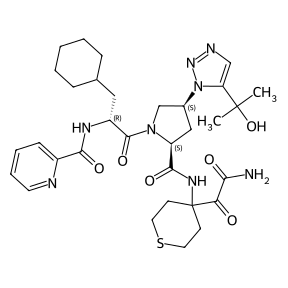 CC(C)(O)c1cnnn1[C@H]1C[C@@H](C(=O)NC2(C(=O)C(N)=O)CCSCC2)N(C(=O)[C@@H](CC2CCCCC2)NC(=O)c2ccccn2)C1